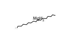 [CH2]CCCCCCCCCCCCCCCC.[MgH2]